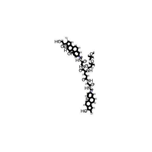 COC(C)(C)COC(C)(C)CC(=O)NC(CCC(=O)NCC(=O)N/N=C1\C=CC2C(=C1)CCC1C3CC(C)C(O)C3CCC21F)C(=O)NCC(=O)N/N=C1\C=CC2(C)C(=C1)CCC1C2C(O)C[C@@]2(O)C1C[C@@H](C)C2C(=O)CO